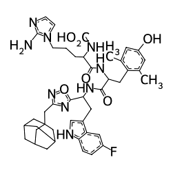 Cc1cc(O)cc(C)c1CC(NC(=O)C(CCCn1ccnc1N)NC(=O)O)C(=O)NC(Cc1c[nH]c2ccc(F)cc12)c1nc(CC23CC4CC(CC(C4)C2)C3)no1